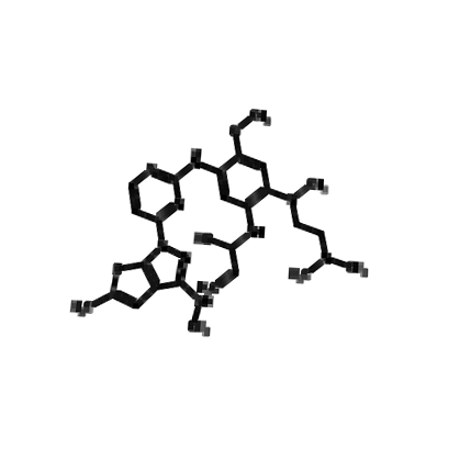 C=CC(O)Nc1cc(Nc2nccc(-n3nc(NC)c4cc(C)sc43)n2)c(OC)cc1N(C)CCN(C)C